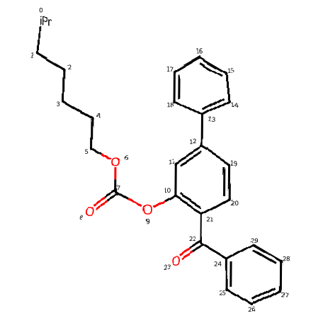 CC(C)CCCCCOC(=O)Oc1cc(-c2ccccc2)ccc1C(=O)c1ccccc1